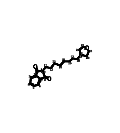 O=C1c2ccccc2C(=O)N1CCCCCCCCN1CCOCC1